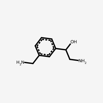 NCc1cccc(C(O)CN)c1